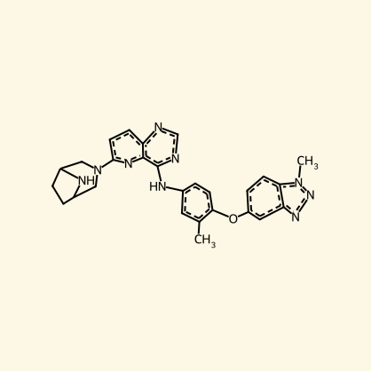 Cc1cc(Nc2ncnc3ccc(N4CC5CCC(C4)N5)nc23)ccc1Oc1ccc2c(c1)nnn2C